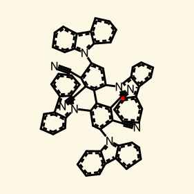 N#Cc1c(-n2c3ccccc3c3ccccc32)cc(-n2c3ccccc3c3ccccc32)c(-c2c(-n3c4ccccc4c4ccccc43)cc(-n3c4ccccc4c4ccccc43)c(C#N)c2C#N)c1C#N